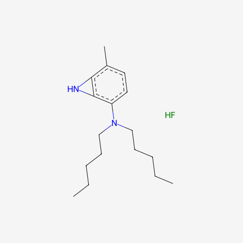 CCCCCN(CCCCC)c1ccc(C)c2c1N2.F